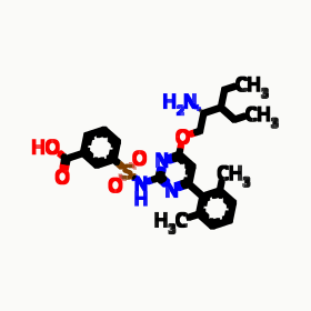 CCC(CC)[C@@H](N)COc1cc(-c2c(C)cccc2C)nc(NS(=O)(=O)c2cccc(C(=O)O)c2)n1